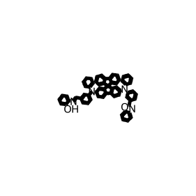 Oc1ccccc1/N=C/c1cccc(N(C2=CCCC=C2)C2C=C3C(=CC2)c2ccc(N(c4ccccc4)c4cccc(-c5nc6ccccc6o5)c4)cc2C32c3ccccc3-c3ccccc32)c1